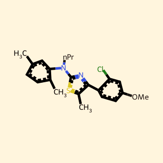 CCCN(c1nc(-c2ccc(OC)cc2Cl)c(C)s1)c1cc(C)ccc1C